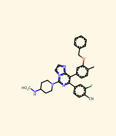 Cc1ccc(-c2c(-c3ccc(C#N)c(F)c3)nc(N3CCC(NC(=O)O)CC3)n3ccnc23)cc1OCc1ccccc1